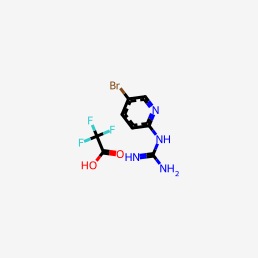 N=C(N)Nc1ccc(Br)cn1.O=C(O)C(F)(F)F